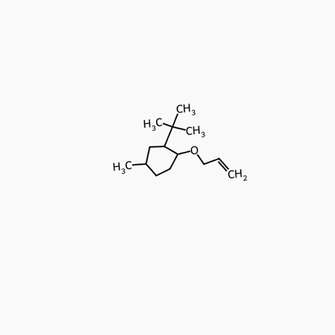 C=CCOC1CCC(C)CC1C(C)(C)C